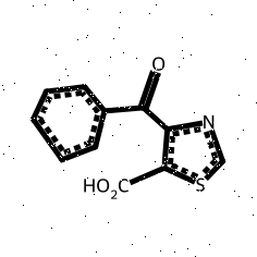 O=C(c1ccccc1)c1ncsc1C(=O)O